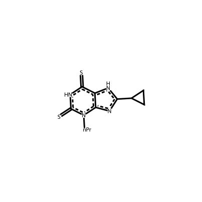 CCCn1c(=S)[nH]c(=S)c2[nH]c(C3CC3)nc21